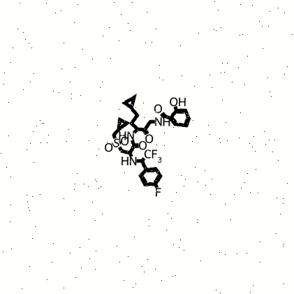 O=C(NCC(=O)C(CCC1CC1)NC(=O)C(CS(=O)(=O)CC1CC1)NC(c1ccc(F)cc1)C(F)(F)F)c1ccccc1O